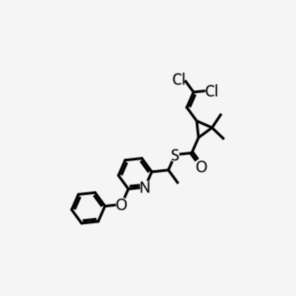 CC(SC(=O)C1C(C=C(Cl)Cl)C1(C)C)c1cccc(Oc2ccccc2)n1